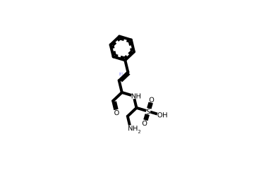 NCC(NC(C=O)/C=C/c1ccccc1)S(=O)(=O)O